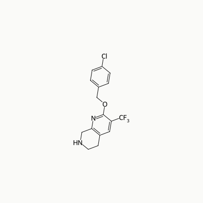 FC(F)(F)c1cc2c(nc1OCc1ccc(Cl)cc1)CNCC2